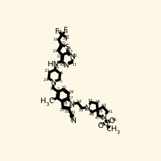 Cc1c(CN2CCC(Nc3ncnc4sc(CC(F)(F)F)cc34)CC2)ccc2c1cc(C#N)n2CCN1CCC2(CCN(S(C)(=O)=O)C2)C1